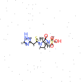 O=C1[C@@H]2[C@@H](CCN2C(=S)Cc2nc[nH]n2)N1S(=O)(=O)O